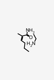 CCCC=C(C)C(N)=O.CCN